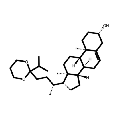 CC(C)C1(CC[C@@H](C)[C@H]2CC[C@H]3[C@@H]4CC=C5C[C@@H](O)CC[C@]5(C)[C@H]4CC[C@]23C)OCCCO1